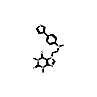 CN(CCn1cnc2c1c(=O)n(C)c(=O)n2C)c1ccc(-c2ccsc2)cc1